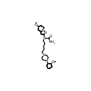 COc1ccn2nc(N(CCCCCN3CCN(c4ccccc4OC)CC3)C(N)=O)cc2c1